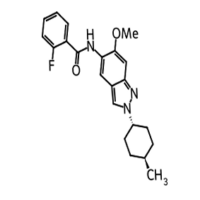 COc1cc2nn([C@H]3CC[C@H](C)CC3)cc2cc1NC(=O)c1ccccc1F